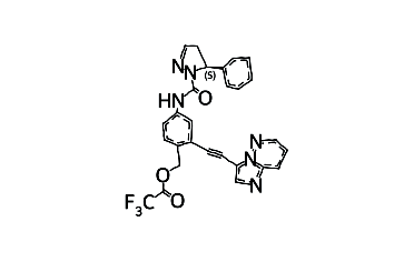 O=C(Nc1ccc(COC(=O)C(F)(F)F)c(C#Cc2cnc3cccnn23)c1)N1N=CC[C@H]1c1ccccc1